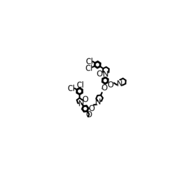 COc1ccc(N2CCC(c3ccc(Cl)c(Cl)c3)C2=O)cc1OCCN1CCC(C)CC1.COc1ccc(N2CCCC(c3ccc(Cl)c(Cl)c3)C2=O)cc1OCCN1CCCCC1